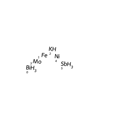 [BiH3].[Fe].[KH].[Mo].[Ni].[SbH3]